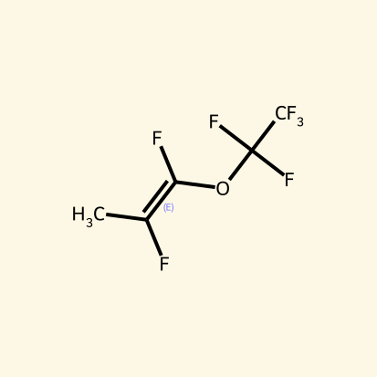 C/C(F)=C(\F)OC(F)(F)C(F)(F)F